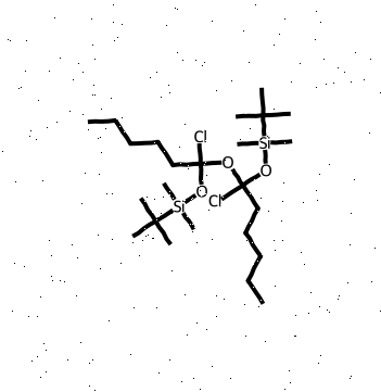 CCCCCC(Cl)(OC(Cl)(CCCCC)O[Si](C)(C)C(C)(C)C)O[Si](C)(C)C(C)(C)C